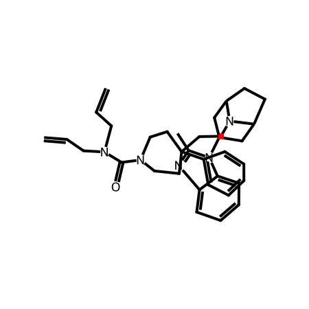 C=CCN(CC=C)C(=O)N1CCC(CCN2C3CCC2CC(n2c(C)nc4ccccc42)C3)(c2ccccc2)CC1